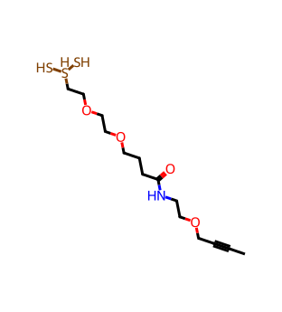 CC#CCOCCNC(=O)CCCOCCOCC[SH](S)S